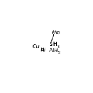 [AlH3].[Cu].[Ni].[SiH3][Mo]